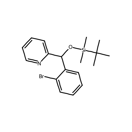 CC(C)(C)[Si](C)(C)OC(c1ccccn1)c1ccccc1Br